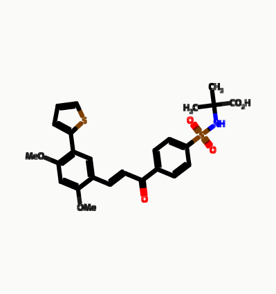 COc1cc(OC)c(-c2cccs2)cc1C=CC(=O)c1ccc(S(=O)(=O)NC(C)(C)C(=O)O)cc1